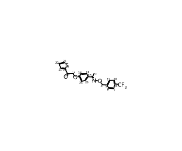 C/C(=N\OCc1ccc(C(F)(F)F)cc1)c1ccc(OCC(=O)c2cccs2)cc1